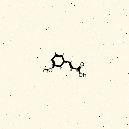 COC1=CC=CC(C=CC(=O)O)C1